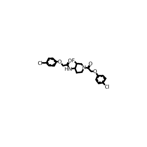 O=C(COc1ccc(Cl)cc1)NC1CCN(C(=O)COc2ccc(Cl)cc2)CC1F